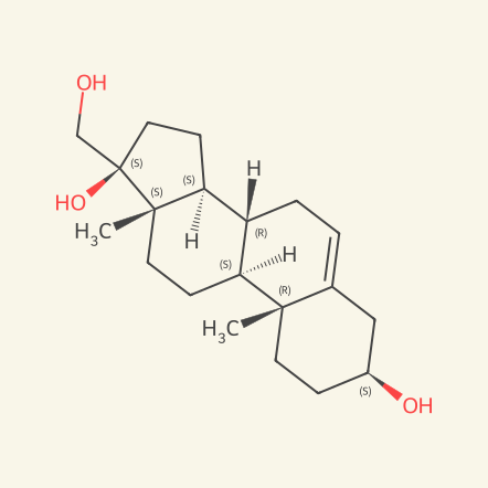 C[C@]12CC[C@H](O)CC1=CC[C@@H]1[C@@H]2CC[C@@]2(C)[C@H]1CC[C@@]2(O)CO